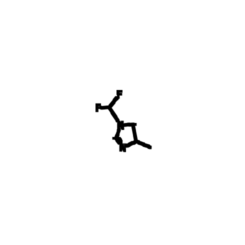 CC1[CH]N(C(F)F)[C]=N1